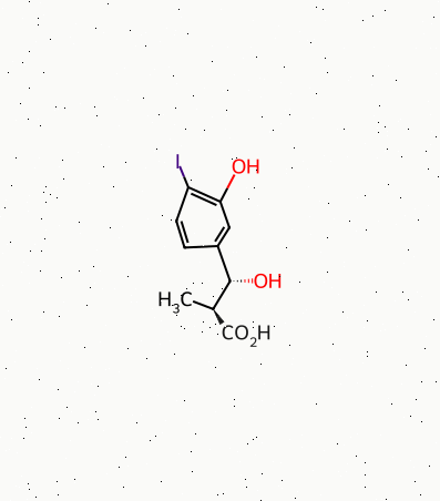 C[C@H](C(=O)O)[C@@H](O)c1ccc(I)c(O)c1